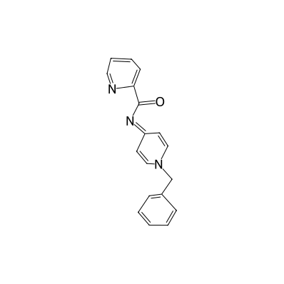 O=C(N=c1ccn(Cc2ccccc2)cc1)c1ccccn1